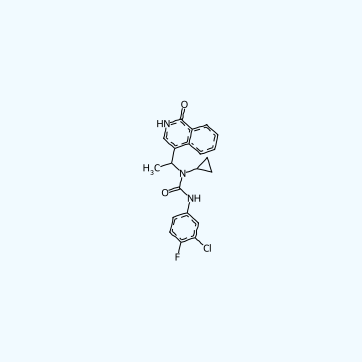 CC(c1c[nH]c(=O)c2ccccc12)N(C(=O)Nc1ccc(F)c(Cl)c1)C1CC1